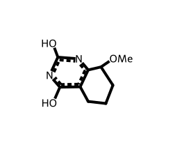 COC1CCCc2c(O)nc(O)nc21